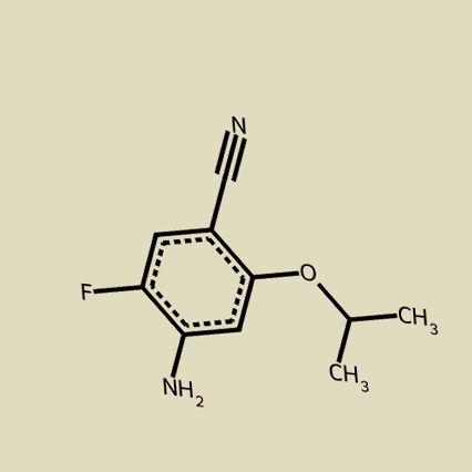 CC(C)Oc1cc(N)c(F)cc1C#N